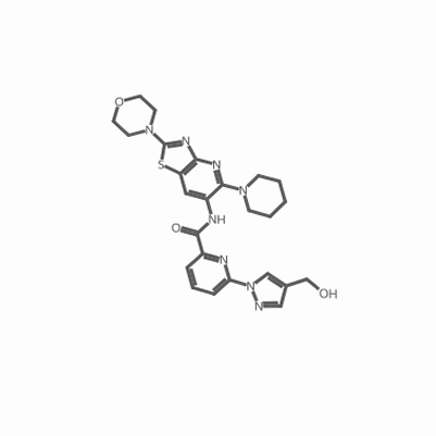 O=C(Nc1cc2sc(N3CCOCC3)nc2nc1N1CCCCC1)c1cccc(-n2cc(CO)cn2)n1